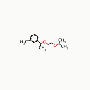 Cc1cccc(C(C)OCCOC(C)C)c1